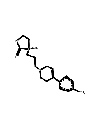 Cc1ccc(C2=CCN(CCC[N+]3(C)CCNC3=O)CC2)cc1